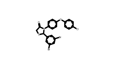 O=C1CSC(c2cc(Br)cc(Br)c2)N1c1ccc(Oc2ccc(Cl)cc2)cc1